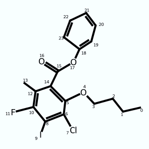 CCCCOc1c(Cl)c(I)c(F)c(C)c1C(=O)Oc1ccccc1